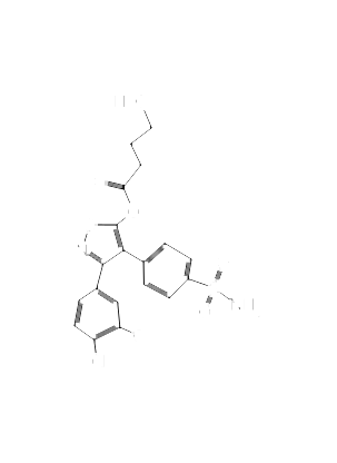 CCCCC(=O)Oc1onc(-c2ccc(Cl)c(Cl)c2)c1-c1ccc(S(N)(=O)=O)cc1